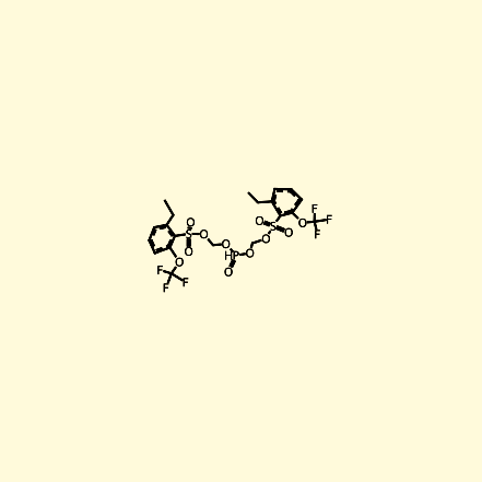 CCc1cccc(OC(F)(F)F)c1S(=O)(=O)OCO[PH](=O)OCOS(=O)(=O)c1c(CC)cccc1OC(F)(F)F